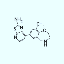 Cc1cc(-c2ccnc3sc(N)nc23)cc2c1OCCNC2